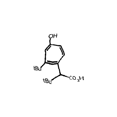 CC(C)(C)c1cc(O)ccc1C(C(=O)O)C(C)(C)C